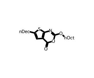 CCCCCCCCCCc1cc2c(=O)oc(OCCCCCCCC)nc2s1